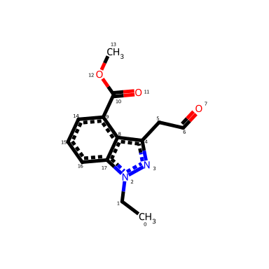 CCn1nc(CC=O)c2c(C(=O)OC)cccc21